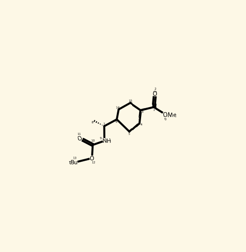 COC(=O)C1CCC([C@@H](C)NC(=O)OC(C)(C)C)CC1